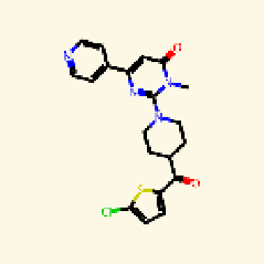 Cn1c(N2CCC(C(=O)c3ccc(Cl)s3)CC2)nc(-c2ccncc2)cc1=O